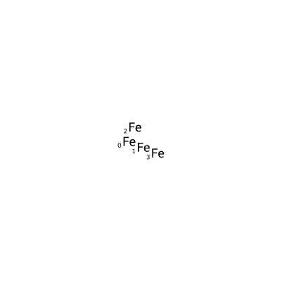 [Fe].[Fe].[Fe].[Fe]